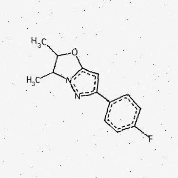 CC1Oc2cc(-c3ccc(F)cc3)nn2C1C